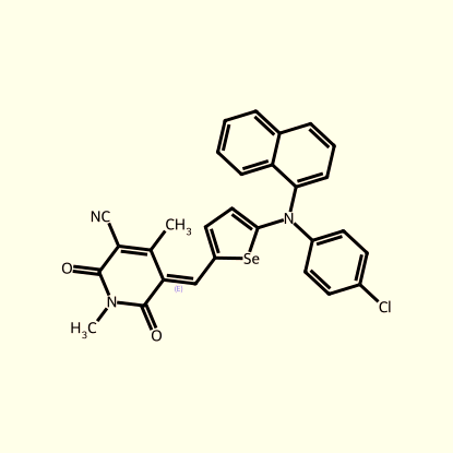 CC1=C(C#N)C(=O)N(C)C(=O)/C1=C/c1ccc(N(c2ccc(Cl)cc2)c2cccc3ccccc23)[se]1